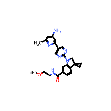 CCCOCCNC(=O)c1ccc2c(c1)N(c1ncc(-c3cc(N)cc(C)n3)cn1)CC21CC1